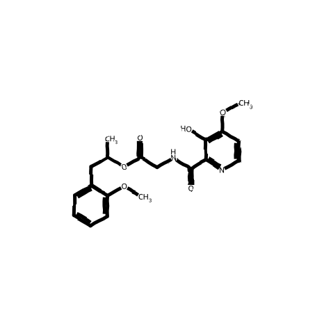 COc1ccccc1CC(C)OC(=O)CNC(=O)c1nccc(OC)c1O